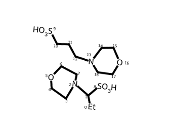 CCC(N1CCOCC1)S(=O)(=O)O.O=S(=O)(O)CCCN1CCOCC1